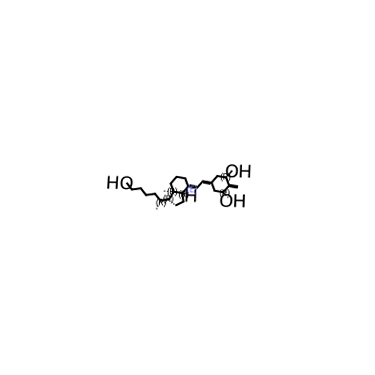 C=C1[C@H](O)CC(=C/C=C2\CCC[C@]3(C)[C@@H]([C@H](C)CCCCO)CC[C@@H]23)C[C@H]1O